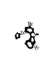 CN1c2cc(Br)c[c]([Zr+2][C]3=CC=CC3)c2C2=c3ccccc3=CC21.[Cl-].[Cl-]